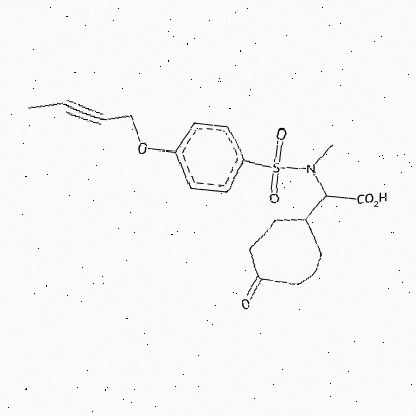 CC#CCOc1ccc(S(=O)(=O)N(C)C(C(=O)O)C2CCC(=O)CC2)cc1